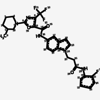 CC1CCCN(c2nc(C(F)(F)F)c(C(=O)Nc3ccc4c(ccn4CCC(=O)Nc4ccccc4F)c3)o2)C1